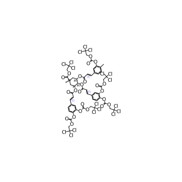 Cc1ccc(/C=C/C(=O)O[C@@H]2C[C@@](C)(C(=O)OCC(Cl)(Cl)Cl)C[C@@H](OC(=O)/C=C/c3ccc(OC(=O)OCC(Cl)(Cl)Cl)c(OC(=O)OCC(Cl)(Cl)Cl)c3)[C@@H]2OC(=O)/C=C/c2ccc(OC(=O)OCC(Cl)(Cl)Cl)c(OC(=O)OCC(Cl)(Cl)Cl)c2)cc1OC(=O)OCC(Cl)(Cl)Cl